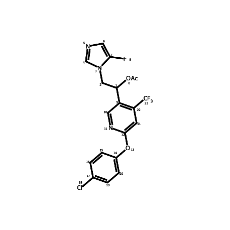 CC(=O)OC(Cn1cncc1F)c1cnc(Oc2ccc(Cl)cc2)cc1C(F)(F)F